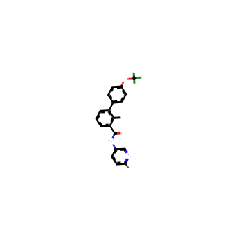 Cc1c(C(=O)Nc2ccc(Cl)nc2)cccc1-c1ccc(OC(F)(F)F)cc1